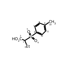 CCC(C(=O)O)S(=O)(=O)c1ccc(C)cc1